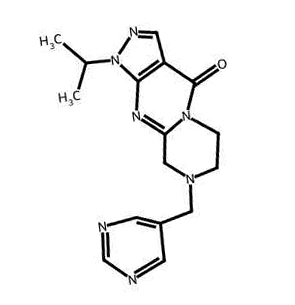 CC(C)n1ncc2c(=O)n3c(nc21)CN(Cc1cncnc1)CC3